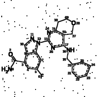 NC(=O)c1cc(F)cc2c1cnn2-c1nc2c(c(NCc3ccccc3)n1)COCC2